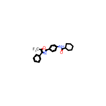 O=C(Nc1ccc(-c2nc(-c3ccccc3)c(C(F)(F)F)o2)cc1)C1CCCCC1